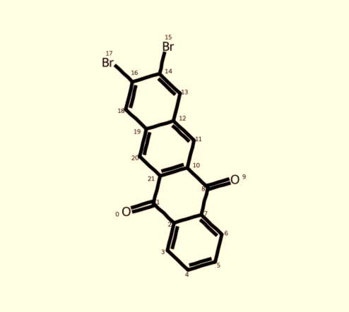 O=C1c2ccccc2C(=O)c2cc3cc(Br)c(Br)cc3cc21